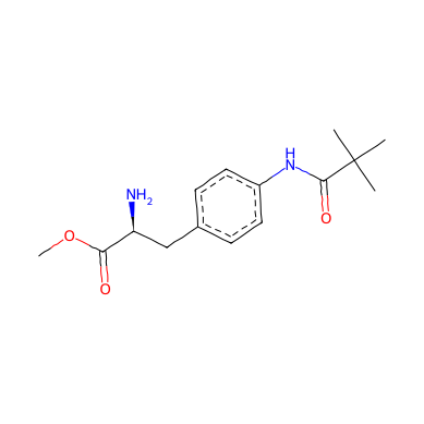 COC(=O)[C@@H](N)Cc1ccc(NC(=O)C(C)(C)C)cc1